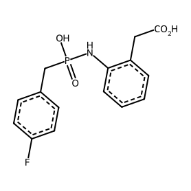 O=C(O)Cc1ccccc1NP(=O)(O)Cc1ccc(F)cc1